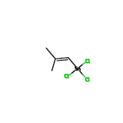 CC(C)=[CH][Sn]([Cl])([Cl])[Cl]